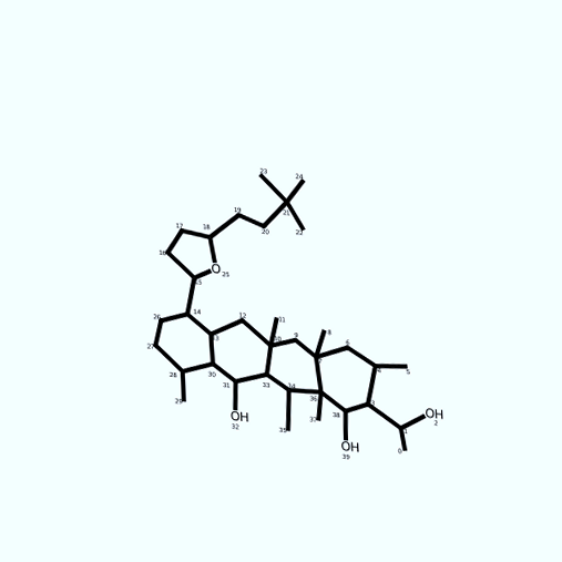 CC(O)C1C(C)CC2(C)CC3(C)CC4C(C5CCC(CCC(C)(C)C)O5)CCC(C)C4C(O)C3C(C)C2(C)C1O